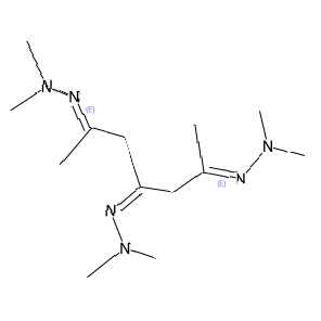 C/C(CC(C/C(C)=N/N(C)C)=NN(C)C)=N\N(C)C